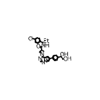 CC[C@H](NC(=O)C1CN(c2ncnn3cc(-c4ccc([C@@H](O)CO)cc4)cc23)C1)c1ccc(Cl)cc1